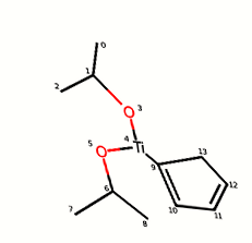 CC(C)[O][Ti]([O]C(C)C)[C]1=CC=CC1